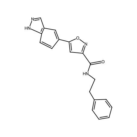 O=C(NCCc1ccccc1)c1cc(-c2ccc3[nH]ncc3c2)on1